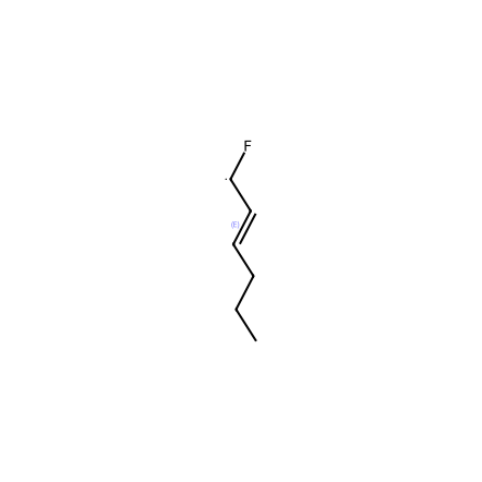 CCC/C=C/[CH]F